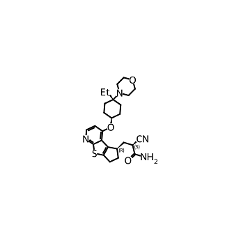 CC[C@]1(N2CCOCC2)CC[C@H](Oc2ccnc3sc4c(c23)[C@@H](C[C@@H](C#N)C(N)=O)CC4)CC1